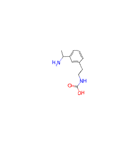 CC(N)c1cccc(CCNC(=O)O)c1